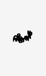 CN(c1cccnc1)c1ccc(C(=O)CN2C(=O)NC3(CCCCC3)C2=O)cn1